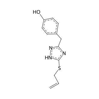 C=CCSc1nc(Cc2ccc(O)cc2)n[nH]1